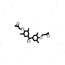 CCC(C1CC(C)C(OCC2CO2)C(C)C1)C1CC(C)C(OCC2CO2)C(C)C1